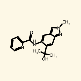 Cn1cc2cc(NC(=O)c3ccccn3)c(C(C)(C)O)cc2n1